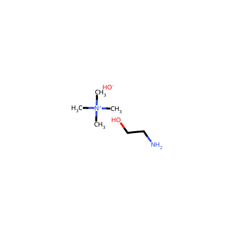 C[N+](C)(C)C.NCCO.[OH-]